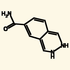 NC(=O)c1ccc2c(c1)=CNNC=2